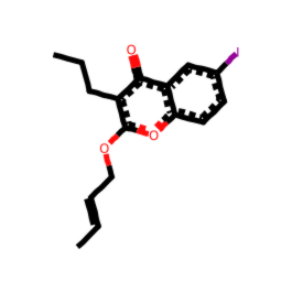 C/C=C/COc1oc2ccc(I)cc2c(=O)c1CCC